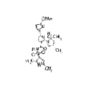 COc1ccn(-c2ccc(C(=O)NS(=O)(=O)c3cn(C)nc3C)c(N3C[C@@H](C)CC3(C)C)n2)n1